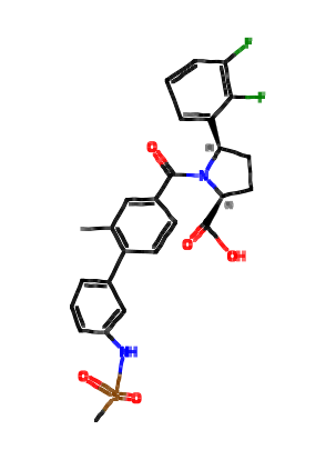 Cc1cc(C(=O)N2[C@@H](c3cccc(F)c3F)CC[C@H]2C(=O)O)ccc1-c1cccc(NS(C)(=O)=O)c1